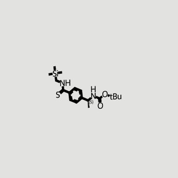 C[C@H](NC(=O)OC(C)(C)C)c1ccc(C(=S)NC[Si](C)(C)C)cc1